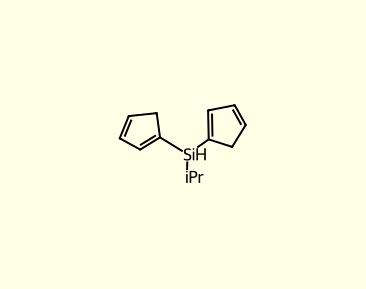 CC(C)[SiH](C1=CC=CC1)C1=CC=CC1